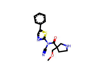 COCC1(C(=O)N(C#N)c2ncc(-c3ccccc3)s2)CCNC1